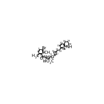 Cc1ccc(Br)c(C)c1C(=O)N[C@@H](CCOC1CC(CCc2ccc3c(n2)NCCC3)C1)C(=O)O